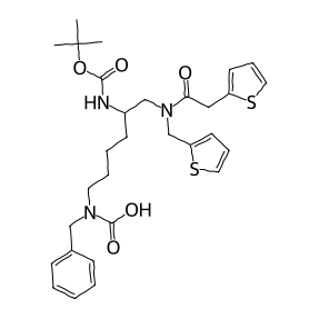 CC(C)(C)OC(=O)NC(CCCCN(Cc1ccccc1)C(=O)O)CN(Cc1cccs1)C(=O)Cc1cccs1